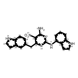 Nc1nc(Nc2cccc3[nH]ccc23)nc(Cc2ccc3[nH]ccc3c2)c1[N+](=O)[O-]